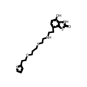 O=c1[nH]c2c(O)ccc(CCNCCSCCCOCCc3cccs3)c2s1